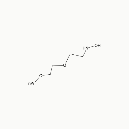 CCCOCCOCCNO